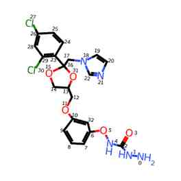 NNC(=O)NOc1cccc(OCC2COC(Cn3ccnc3)(c3ccc(Cl)cc3Cl)O2)c1